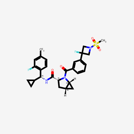 CS(=O)(=O)N1CC(F)(c2cccc(C(=O)N3[C@@H](C(=O)N[C@@H](c4ccc(C(F)(F)F)cc4F)C4CC4)C[C@H]4C[C@H]43)c2)C1